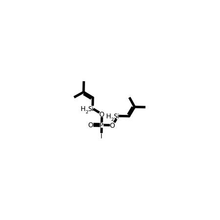 CC(C)=C[SiH2]OP(=O)(I)O[SiH2]C=C(C)C